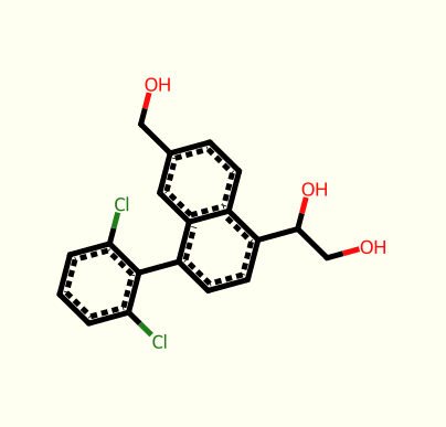 OCc1ccc2c(C(O)CO)ccc(-c3c(Cl)cccc3Cl)c2c1